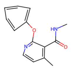 CNC(=O)c1c(C)ccnc1Oc1ccccc1